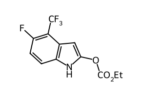 CCOC(=O)Oc1cc2c(C(F)(F)F)c(F)ccc2[nH]1